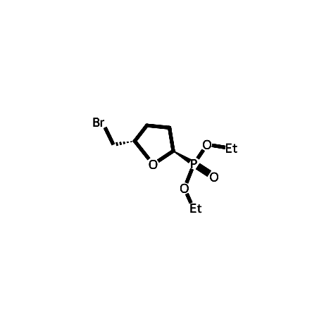 CCOP(=O)(OCC)[C@@H]1CC[C@@H](CBr)O1